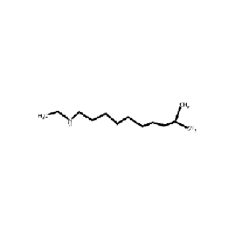 CCNCCCCCCCCC(C)C